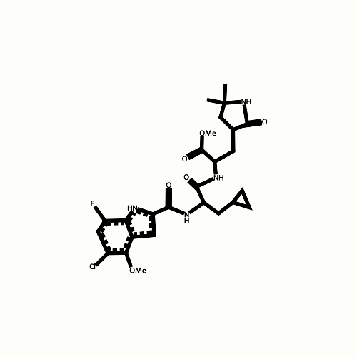 COC(=O)C(CC1CC(C)(C)NC1=O)NC(=O)C(CC1CC1)NC(=O)c1cc2c(OC)c(Cl)cc(F)c2[nH]1